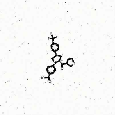 O=C(O)c1ccc(N2CC(c3ccc(C(F)(F)F)cc3)C[C@H]2C(=O)C2CCOC2)cc1